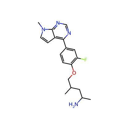 CC(N)CC(C)COc1ccc(-c2ncnc3c2ccn3C)cc1F